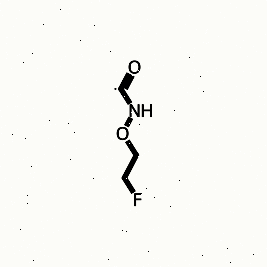 O=[C]NOCCF